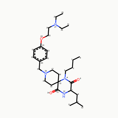 CCCCN1C(=O)C(CC(C)C)NC(=O)C12CCN(Cc1ccc(OCCN(CC)CC)cc1)CC2